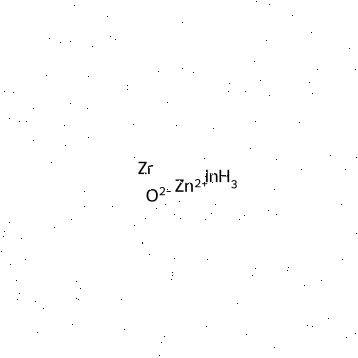 [InH3].[O-2].[Zn+2].[Zr]